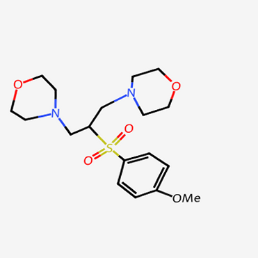 COc1ccc(S(=O)(=O)C(CN2CCOCC2)CN2CCOCC2)cc1